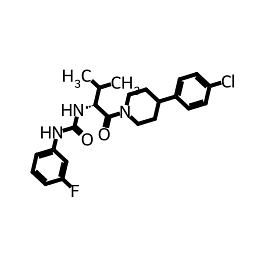 CC(C)[C@@H](NC(=O)Nc1cccc(F)c1)C(=O)N1CCC(c2ccc(Cl)cc2)CC1